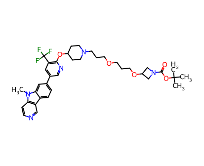 Cn1c2ccncc2c2ccc(-c3cnc(OC4CCN(CCCOCCCOC5CN(C(=O)OC(C)(C)C)C5)CC4)c(C(F)(F)F)c3)cc21